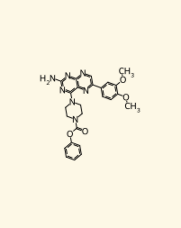 COc1ccc(-c2cnc3nc(N)nc(N4CCN(C(=O)Oc5ccccc5)CC4)c3n2)cc1OC